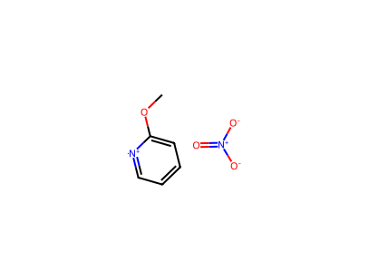 COC1=CC=CC=[N+]1.O=[N+]([O-])[O-]